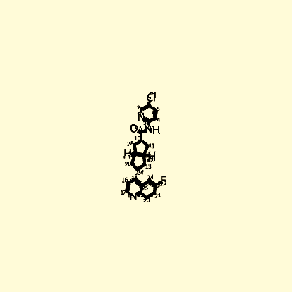 O=C(Nc1ccc(Cl)cn1)[C@H]1C[C@@H]2C[C@H](c3ccnc4ccc(F)cc34)C[C@@H]2C1